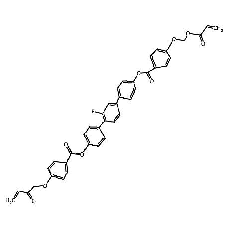 C=CC(=O)COc1ccc(C(=O)Oc2ccc(-c3ccc(-c4ccc(OC(=O)c5ccc(OCOC(=O)C=C)cc5)cc4)cc3F)cc2)cc1